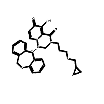 O=C1c2c(O)c(=O)ccn2N([C@H]2c3ccccc3CSc3ccccc32)CN1CCCSCC1CC1